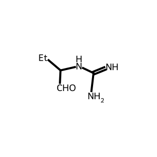 CCC(C=O)NC(=N)N